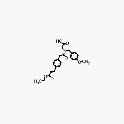 CCOC(=O)/C=C/c1ccc(CC(=O)N(CC(=O)O)Cc2ccc(OC)cc2)cc1